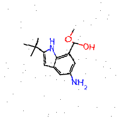 COC(O)c1cc(N)cc2cc(C(C)(C)C)[nH]c12